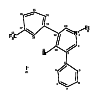 CC[n+]1cc(-c2ccccc2)c(Br)c(-c2cccc(C(F)(F)F)c2)c1.[I-]